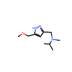 COCc1cc(CN(C)C(C)C)n[nH]1